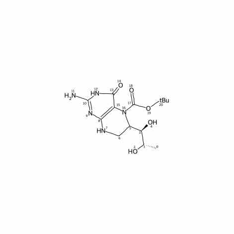 C[C@H](O)[C@H](O)C1CNc2nc(N)[nH]c(=O)c2N1C(=O)OC(C)(C)C